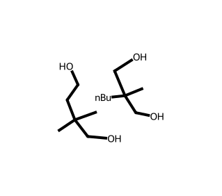 CC(C)(CO)CCO.CCCCC(C)(CO)CO